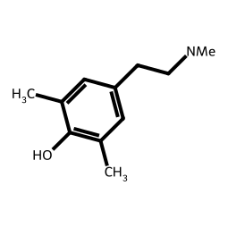 CNCCc1cc(C)c(O)c(C)c1